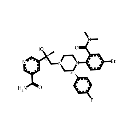 CCc1ccc(N2CCN(C[C@@](C)(O)c3cncc(C(N)=O)c3)C[C@H]2c2ccc(F)cc2)c(C(=O)N(C)C)c1